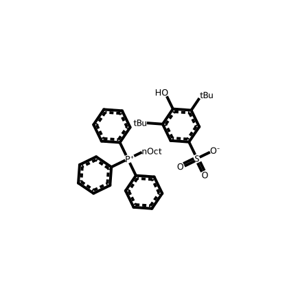 CC(C)(C)c1cc(S(=O)(=O)[O-])cc(C(C)(C)C)c1O.CCCCCCCC[P+](c1ccccc1)(c1ccccc1)c1ccccc1